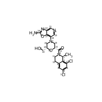 C[C@H]1c2c(Cl)cc(Cl)cc2CCN1C(=O)[C@H]1CN(c2cncc3nc(N)oc23)C[C@@H](CO)O1